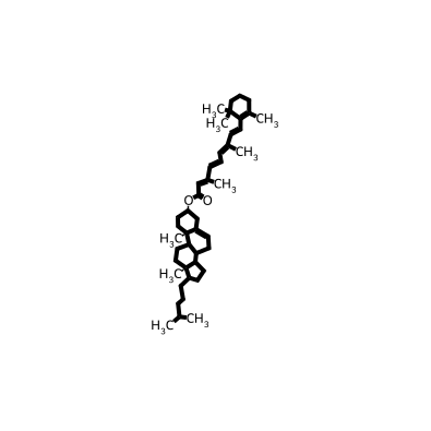 CC1=C(/C=C/C(C)=C/C=C/C(C)=C/C(=O)O[C@H]2CC[C@@]3(C)C(=CCC4C5CCC(CCCC(C)C)[C@@]5(C)CCC43)C2)C(C)(C)CCC1